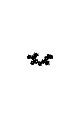 c1ccc(-c2cc(-n3c4ccccc4c4cc(-c5cccc(-c6ccc7c(c6)c6ccccc6n7-c6ccc7sc8ccncc8c7c6)n5)ccc43)nc(-c3ccccc3)n2)cc1